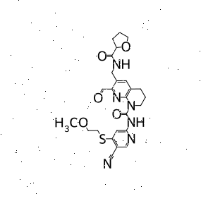 COCCSc1cc(NC(=O)N2CCCc3cc(CNC(=O)C4CCCO4)c(C=O)nc32)ncc1C#N